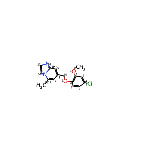 COc1cc(Cl)ccc1OCc1cc(C)n2ccnc2c1